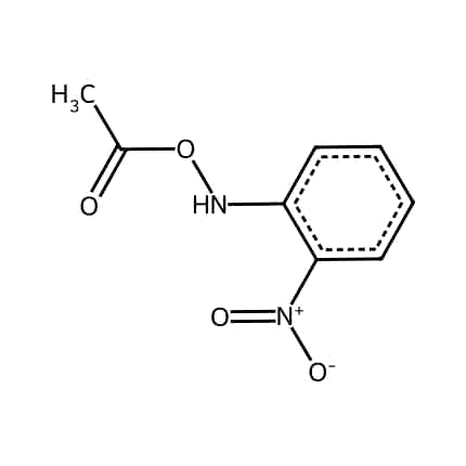 CC(=O)ONc1ccccc1[N+](=O)[O-]